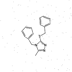 Cc1nnc(SCc2ccccc2)n1Cc1ccccc1